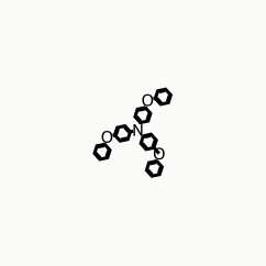 c1ccc(Oc2ccc(N(c3ccc(Oc4ccccc4)cc3)c3ccc(Oc4ccccc4)cc3)cc2)cc1